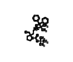 CC(C)(C)OC(=O)N1CCCC1(C=O)CCCO[Si](c1ccccc1)(c1ccccc1)C(C)(C)C